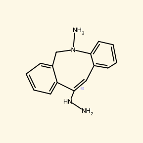 NN/C1=C/c2ccccc2N(N)Cc2ccccc21